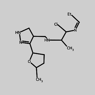 CC/C=N\C(Cl)C(C)NCC1CNN=C1C1CCC(C)O1